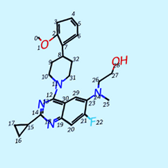 COc1ccccc1C1CCN(c2nc(C3CC3)nc3cc(F)c(N(C)CCO)cc23)CC1